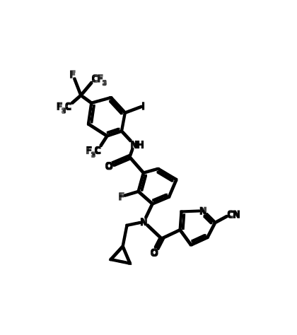 N#Cc1ccc(C(=O)N(CC2CC2)c2cccc(C(=O)Nc3c(I)cc(C(F)(C(F)(F)F)C(F)(F)F)cc3C(F)(F)F)c2F)cn1